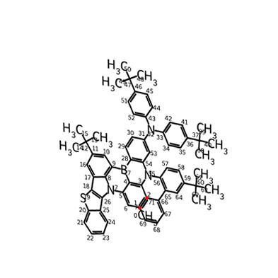 Cc1cc2c3c(c1)-n1c4c(cc(C(C)(C)C)cc4c4sc5ccccc5c41)B3c1ccc(N(c3ccc(C(C)(C)C)cc3)c3ccc(C(C)(C)C)cc3)cc1N2c1ccc(C(C)(C)C)cc1-c1ccccc1